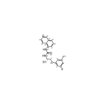 CC[C@@H](COc1cc(F)cc(F)c1)NC(=O)Nc1cccc2cnccc12